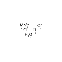 O.[Cl-].[Cl-].[Cl-].[Mn+3]